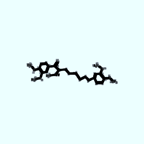 CNC(CCCCCCc1ccc(OC)c(OC)c1)C(=O)c1ccc(OC)c(OC)c1